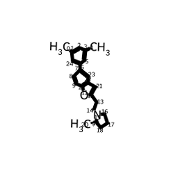 Cc1cc(C)cc(-c2ccc3oc(CCN4CCC[C@H]4C)cc3c2)c1